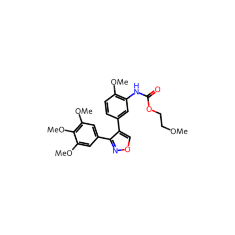 COCCOC(=O)Nc1cc(-c2conc2-c2cc(OC)c(OC)c(OC)c2)ccc1OC